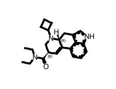 CCN(CC)C(=O)[C@@H]1C=C2c3cccc4[nH]cc(c34)C[C@H]2N(C2CCC2)C1